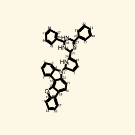 C1=CC(n2c3ccccc3c3c4oc5ccccc5c4ccc32)NC(C2N=C(c3ccccc3)NC(c3ccccc3)N2)=C1